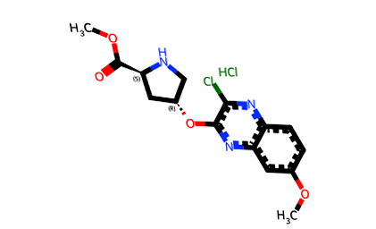 COC(=O)[C@@H]1C[C@@H](Oc2nc3cc(OC)ccc3nc2Cl)CN1.Cl